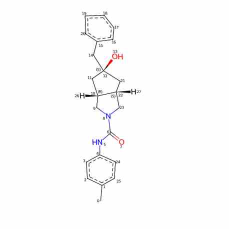 Cc1ccc(NC(=O)N2C[C@@H]3C[C@](O)(Cc4ccccc4)C[C@@H]3C2)cc1